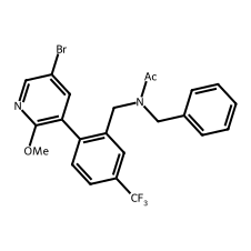 COc1ncc(Br)cc1-c1ccc(C(F)(F)F)cc1CN(Cc1ccccc1)C(C)=O